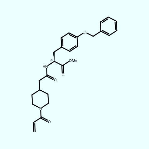 C=CC(=O)N1CCC(CC(=O)N[C@@H](Cc2ccc(OCc3ccccc3)cc2)C(=O)OC)CC1